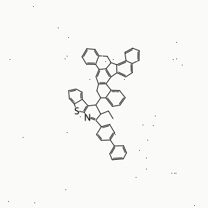 CCC1C(c2ccc(-c3ccccc3)cc2)=Nc2sc3ccccc3c2C1C1Cc2cc3c4c(c2-c2ccccc21)-c1ccc2ccccc2c1C4Cc1ccccc1-3